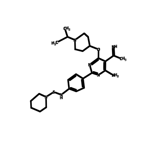 CC(=N)c1c(N)nc(-c2ccc(NSN3CCCCC3)cc2)nc1OC1CCN(C(C)C)CC1